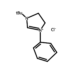 CC(C)(C)N1C=[N+](c2ccccc2)CC1.[Cl-]